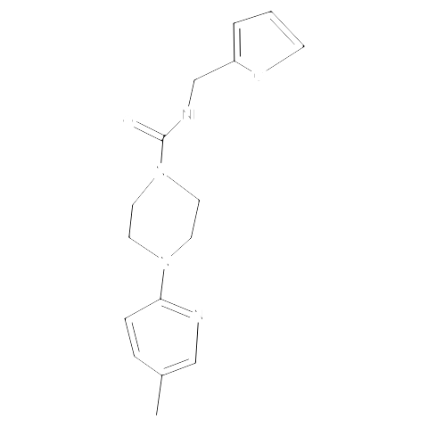 Cc1ccc(N2CCN(C(=O)NCc3ccco3)CC2)nc1